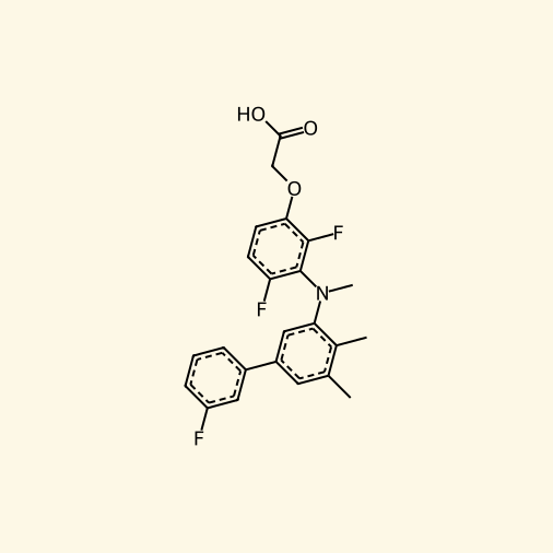 Cc1cc(-c2cccc(F)c2)cc(N(C)c2c(F)ccc(OCC(=O)O)c2F)c1C